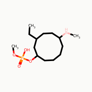 CBC1CCCCC(OP(=O)(O)OC)CC(CC)CC1